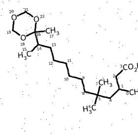 CC(CC(=O)O)CC(C)(C)CCCCCCC(C)C1(C)OCOCO1